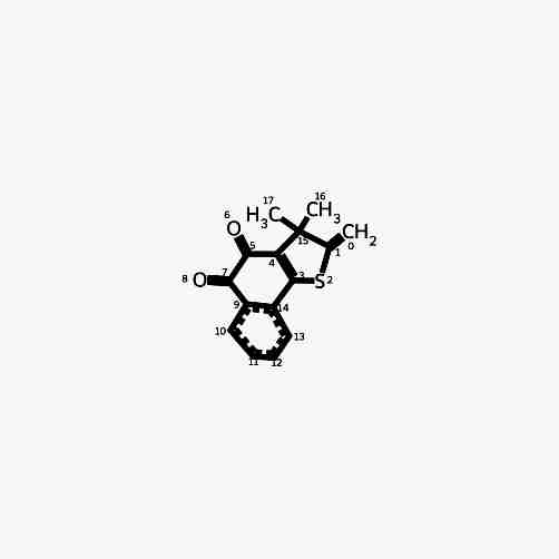 C=C1SC2=C(C(=O)C(=O)c3ccccc32)C1(C)C